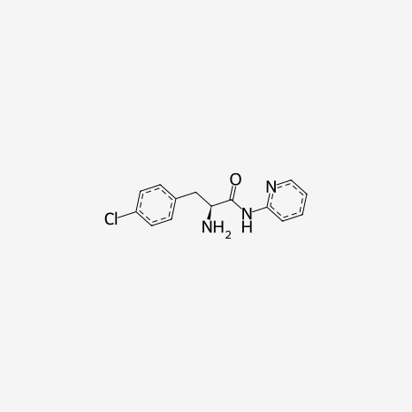 N[C@@H](Cc1ccc(Cl)cc1)C(=O)Nc1ccccn1